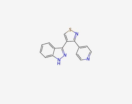 c1ccc2c(-c3csnc3-c3ccncc3)n[nH]c2c1